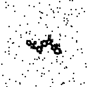 O=C(Nc1cncc(-c2cc3c(-c4cc5ccncc5[nH]4)n[nH]c3cn2)c1)C1CCCC1